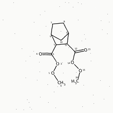 COOC(=O)C1C2CCC(C2)C1C(=O)OOC